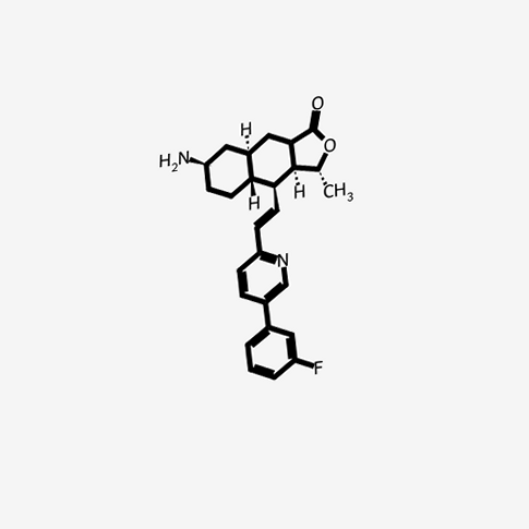 C[C@H]1OC(=O)C2C[C@@H]3C[C@H](N)CC[C@H]3[C@H](C=Cc3ccc(-c4cccc(F)c4)cn3)[C@@H]21